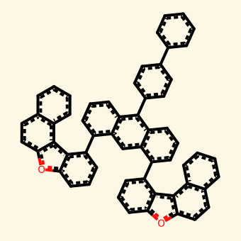 c1ccc(-c2ccc(-c3c4cccc(-c5cccc6oc7ccc8ccccc8c7c56)c4cc4c(-c5cccc6oc7ccc8ccccc8c7c56)cccc34)cc2)cc1